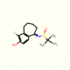 CC(C)(C)[S+]([O-])/N=C1\CCCCc2c1ccc(O)c2F